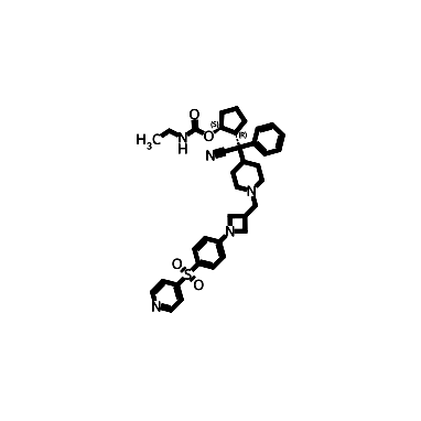 CCNC(=O)O[C@H]1CCC[C@@H]1C(C#N)(c1ccccc1)C1CCN(CC2CN(c3ccc(S(=O)(=O)c4ccncc4)cc3)C2)CC1